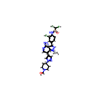 Cn1nc(-c2ccc(N[S+]([O-])C(F)F)c(F)c2)c2c(N)ncc(-c3cnn(C4CCN(C=O)CC4)c3)c21